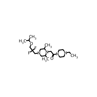 CCN1CCN(C(=O)CN2C(C)CN(CC(F)(F)COC(C)C)CC2C)CC1